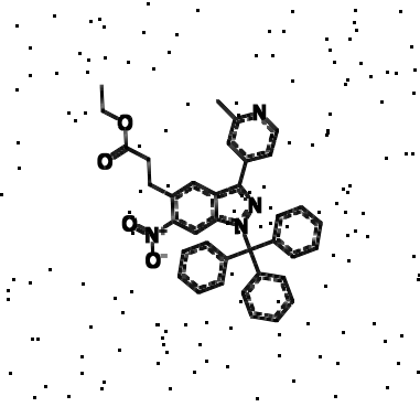 CCOC(=O)CCc1cc2c(-c3ccnc(C)c3)nn(C(c3ccccc3)(c3ccccc3)c3ccccc3)c2cc1[N+](=O)[O-]